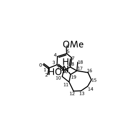 C=C(C)c1cc(OC)cc2c1CC1CCCCCC2(C)C1NO